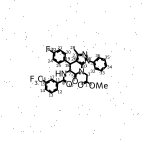 COC(=O)CN1C(=O)C(NC(=O)c2cccc(C(F)(F)F)c2)C(c2ccc(F)cc2)c2c(C)nn(-c3ccccc3)c21